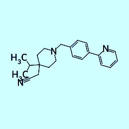 CC(C)C1(CC#N)CCN(Cc2ccc(-c3ccccn3)cc2)CC1